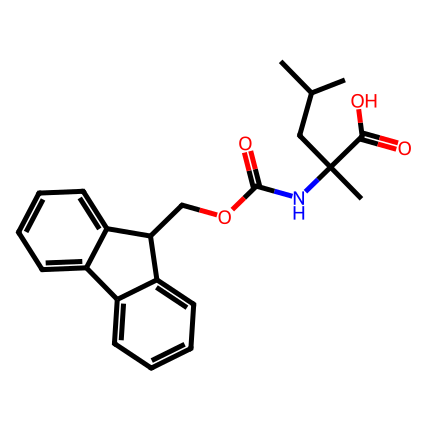 CC(C)CC(C)(NC(=O)OCC1c2ccccc2-c2ccccc21)C(=O)O